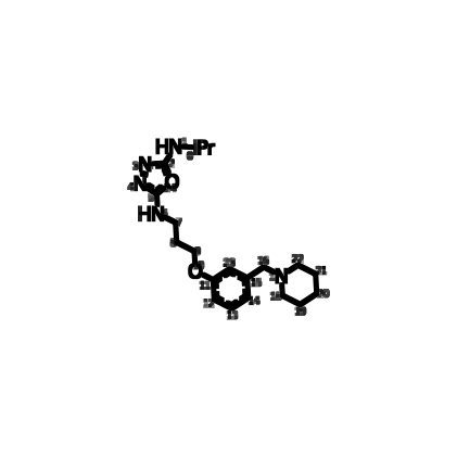 CC(C)Nc1nnc(NCCCOc2cccc(CN3CCCCC3)c2)o1